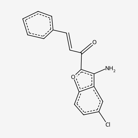 Nc1c(C(=O)/C=C/c2ccccc2)oc2ccc(Cl)cc12